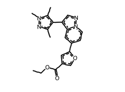 CCOC(=O)c1coc(-c2ccn3ncc(-c4c(C)nn(C)c4C)c3c2)c1